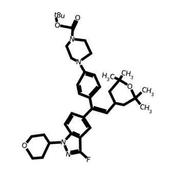 CC(C)(C)OC(=O)N1CCN(c2ccc(C(=CC3CC(C)(C)OC(C)(C)C3)c3ccc4c(c3)c(F)nn4C3CCOCC3)cc2)CC1